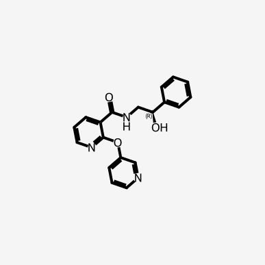 O=C(NC[C@H](O)c1ccccc1)c1cccnc1Oc1cccnc1